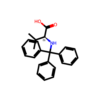 CC(C)[C@H](NC(c1ccccc1)(c1ccccc1)c1ccccc1)C(=O)O